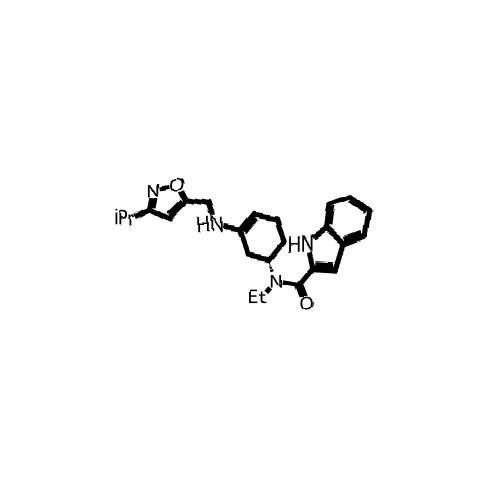 CCN(C(=O)c1cc2ccccc2[nH]1)[C@H]1CCC=C(NCc2cc(C(C)C)no2)C1